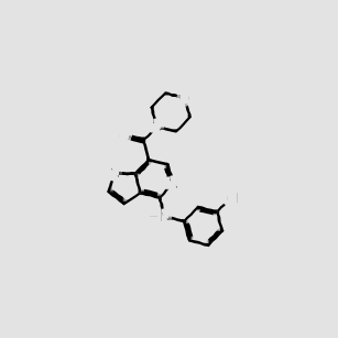 O=C(c1cnc(Nc2cccc(Cl)c2)c2cc[nH]c12)N1CCOCC1